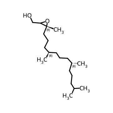 CC(C)CCC[C@@H](C)CCC[C@@H](C)CCC[C@@]1(C)OC1CO